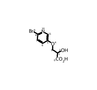 O=C(O)C(O)COc1ccc(Br)nc1